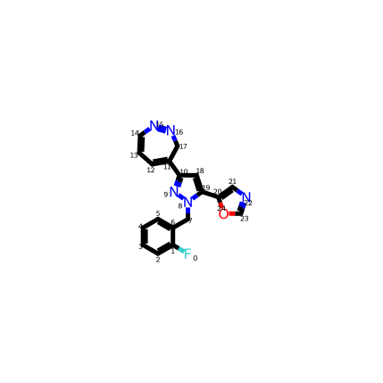 Fc1ccccc1Cn1nc(C2=CC=CN=NC2)cc1-c1cnco1